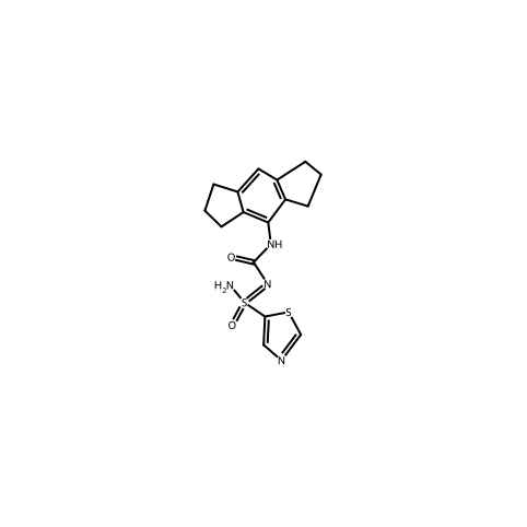 NS(=O)(=NC(=O)Nc1c2c(cc3c1CCC3)CCC2)c1cncs1